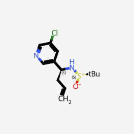 C=CC[C@H](N[S@+]([O-])C(C)(C)C)c1cncc(Cl)c1